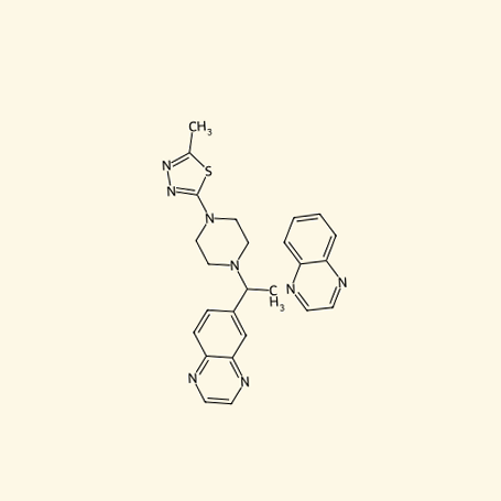 Cc1nnc(N2CCN(C(C)c3ccc4nccnc4c3)CC2)s1.c1ccc2nccnc2c1